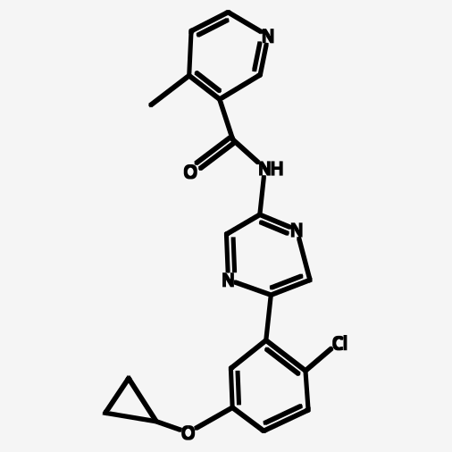 Cc1ccncc1C(=O)Nc1cnc(-c2cc(OC3CC3)ccc2Cl)cn1